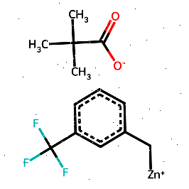 CC(C)(C)C(=O)[O-].FC(F)(F)c1cccc([CH2][Zn+])c1